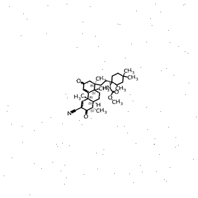 COC(=O)N[C@]1(CC[C@]2(C)CC(=O)C=C3[C@@]4(C)C=C(C#N)C(=O)[C@@H](C)[C@@H]4CC[C@]32C)CCC(C)(C)CC1C